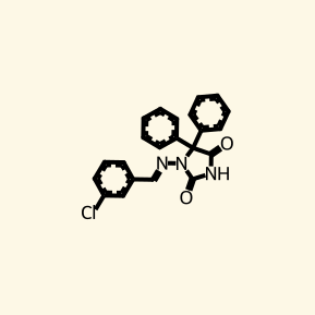 O=C1NC(=O)C(c2ccccc2)(c2ccccc2)N1N=Cc1cccc(Cl)c1